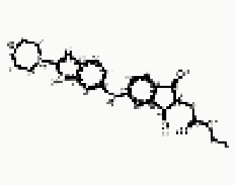 CCOC(=O)CN1C(=O)c2ccc(Oc3ccc4nc(N5CCOCC5)sc4c3)cc2C1=O